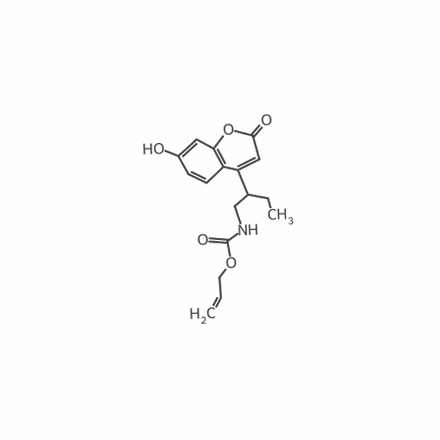 C=CCOC(=O)NCC(CC)c1cc(=O)oc2cc(O)ccc12